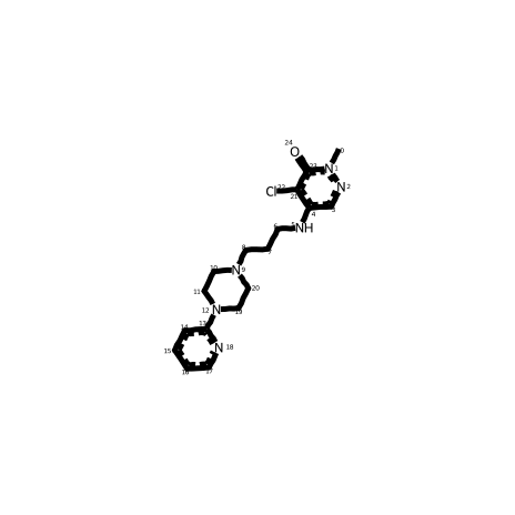 Cn1ncc(NCCCN2CCN(c3ccccn3)CC2)c(Cl)c1=O